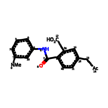 CNc1cccc(NC(=O)c2ccc(CC(C)=O)cc2C(=O)O)c1